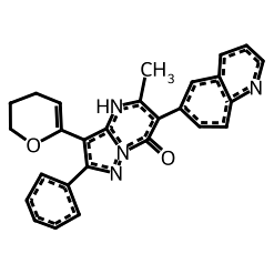 Cc1[nH]c2c(C3=CCCCO3)c(-c3ccccc3)nn2c(=O)c1-c1ccc2ncccc2c1